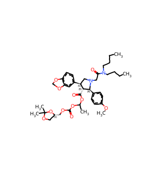 CCCCN(CCCC)C(=O)CN1C[C@H](c2ccc3c(c2)OCO3)[C@@H](C(=O)OC(C)OC(=O)OC[C@@H]2COC(C)(C)O2)[C@@H]1c1ccc(OC)cc1